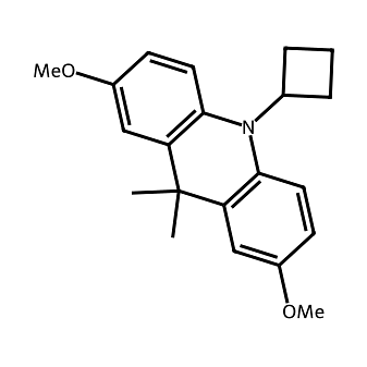 COc1ccc2c(c1)C(C)(C)c1cc(OC)ccc1N2C1CCC1